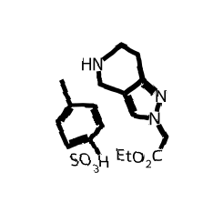 CCOC(=O)Cn1cc2c(n1)CCNC2.Cc1ccc(S(=O)(=O)O)cc1